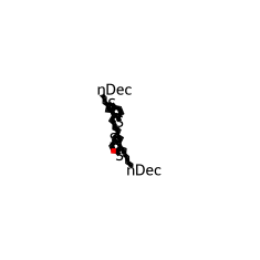 CCCCCCCCCCCCCc1cc2c(ccc3sc(/C=C/c4cc5c(ccc6sc(CCCCCCCCCCCCC)cc65)s4)cc32)s1